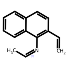 C=Cc1ccc2ccccc2c1/N=C\C